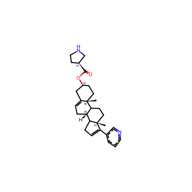 C[C@]12CC[C@H](OC(=O)[C@H]3CCNC3)CC1=CC[C@@H]1C2CC[C@]2(C)C(c3cccnc3)=CCC12